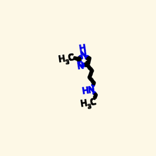 CCNCCCc1c[nH]c(C)n1